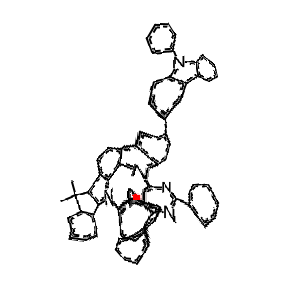 CC1(C)c2ccccc2-c2c1c1ccc3c4cc(-c5ccc6c(c5)c5ccccc5n6-c5ccccc5)ccc4n(-c4nc(-c5ccccc5)nc(-c5ccccc5)n4)c3c1n2-c1ccccc1